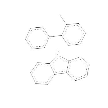 Cc1ccccc1-c1ccccc1.c1ccc2c(c1)[nH]c1ccccc12